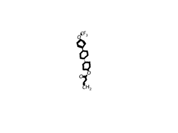 C=CCC(=O)OC1CCC([C@H]2CC[C@H](c3ccc(OC(F)(F)F)cc3)CC2)CC1